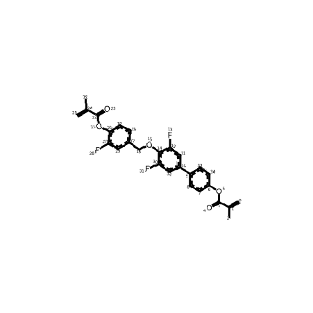 C=C(C)C(=O)Oc1ccc(-c2cc(F)c(OCc3ccc(OC(=O)C(=C)C)c(F)c3)c(F)c2)cc1